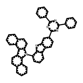 c1ccc(-c2nc(-c3ccccc3)nc(-c3ccc4c(c3)sc3c(-n5c6ccc7ccccc7c6c6ccc7ccccc7c65)cccc34)n2)cc1